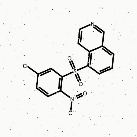 O=[N+]([O-])c1ccc(Cl)cc1S(=O)(=O)c1cccc2cnccc12